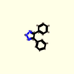 c1ccc(C2=N[N]N=C2c2ccccc2)cc1